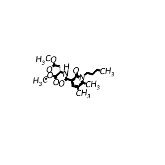 CCCCn1c(C)c(C)cc(C(=O)N[C@@H](CC(=O)OC)C(=O)OC)c1=O